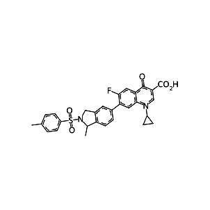 Cc1ccc(S(=O)(=O)N2Cc3cc(-c4cc5c(cc4F)c(=O)c(C(=O)O)cn5C4CC4)ccc3C2C)cc1